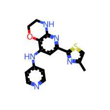 Cc1csc(-c2cc(Nc3ccncc3)c3c(n2)NCCO3)n1